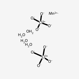 O.O.O.O.[Mn+2].[O-][Cl+3]([O-])([O-])[O-].[O-][Cl+3]([O-])([O-])[O-]